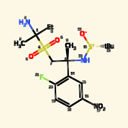 CCC(C)(N)S(=O)(=O)C[C@](C)(N[S@+]([O-])C(C)(C)C)c1cc([N+](=O)[O-])ccc1F